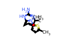 Cc1ccc(N(C)/C2=C\C=C\C(C)/N=C(/N)N2)s1